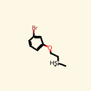 C[SiH](C)CCOc1cccc(Br)c1